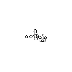 c1ccc(-c2ccc(N(c3ccc4ccccc4c3)c3cccc4c3oc3cc5c(cc34)C3(c4ccccc4S5)c4ccccc4-c4ccccc43)cc2)cc1